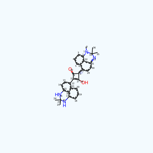 CN1c2cccc3/c(=C4\C(=O)C(c5ccc6c7c(cccc57)NC(C)(C)N6)=C4O)ccc(c23)=NC1(C)C